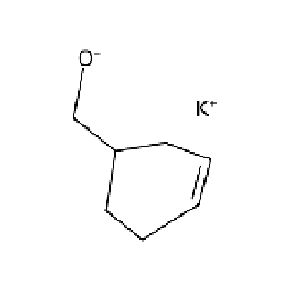 [K+].[O-]CC1CC=CCC1